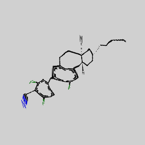 CCCC[C@@H]1CC[C@@H]2c3cc(F)c(-c4cc(F)c(C#N)c(F)c4)cc3CC[C@H]2C1